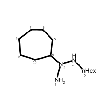 CCCCCCNN(N)C1CCCCCC1